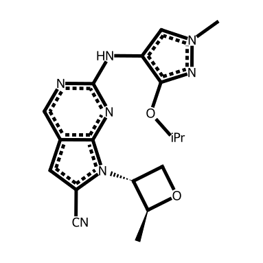 CC(C)Oc1nn(C)cc1Nc1ncc2cc(C#N)n([C@@H]3CO[C@H]3C)c2n1